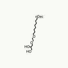 CCCCCCCCCCCCCCCCCCOCCOCC(O)CO